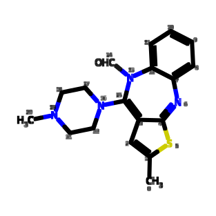 Cc1cc2c(s1)=Nc1ccccc1N(C=O)C=2N1CCN(C)CC1